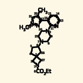 CCOC(=O)N1CC2(CC[C@@H](N3CCN(c4ncccc4-c4nn(C)cc4C)CC3)C2)C1